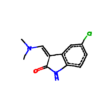 CN(C)/C=C1\C(=O)Nc2ccc(Cl)cc21